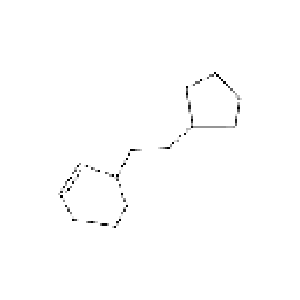 C1=CC(CCC2CCCC2)CCC1